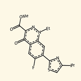 CCn1nc(C(=O)OC)c(=O)c2cc(F)c(-c3nc(C(C)C)cs3)cc21